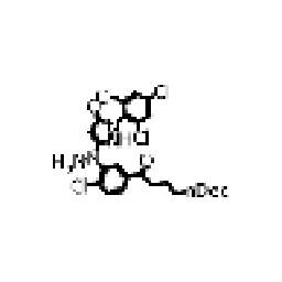 CCCCCCCCCCCCCC(=O)c1ccc(Cl)c(N(N)c2cc(=O)n(-c3c(Cl)cc(Cl)cc3Cl)[nH]2)c1